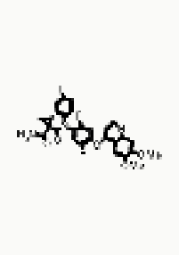 COc1cc2nccc(Oc3cc(F)c(N(C(=O)C4(C(N)=O)CC4)c4ccc(F)cc4)cc3F)c2cc1OC